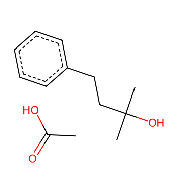 CC(=O)O.CC(C)(O)CCc1ccccc1